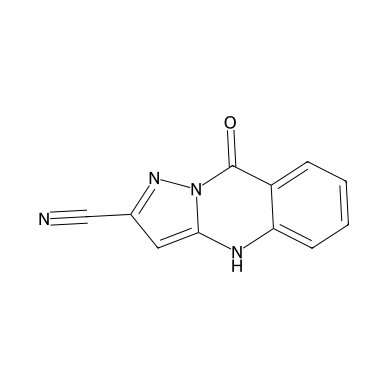 N#Cc1cc2[nH]c3ccccc3c(=O)n2n1